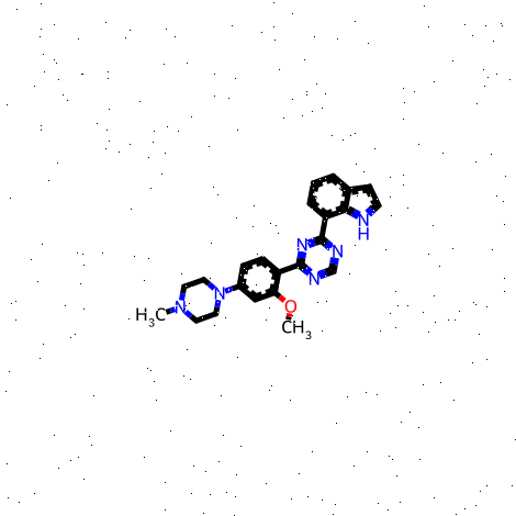 COc1cc(N2CCN(C)CC2)ccc1-c1ncnc(-c2cccc3cc[nH]c23)n1